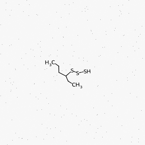 CCCC(CC)SSS